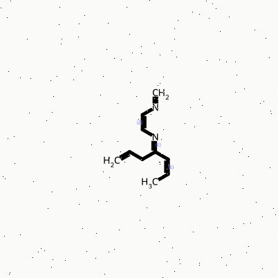 C=CCC(/C=C\C)=N\C=C/N=C